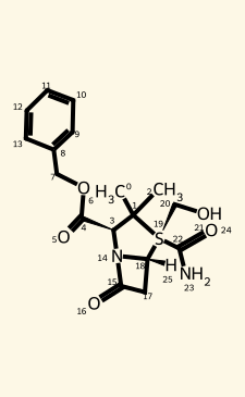 CC1(C)[C@H](C(=O)OCc2ccccc2)N2C(=O)C[C@H]2[S@@]1(CO)C(N)=O